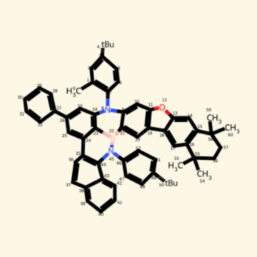 Cc1cc(C(C)(C)C)ccc1N1c2cc3oc4cc5c(cc4c3cc2B2c3c(cc(-c4ccccc4)cc31)-c1ccc3ccccc3c1N2c1ccc(C(C)(C)C)cc1)C(C)(C)CCC5(C)C